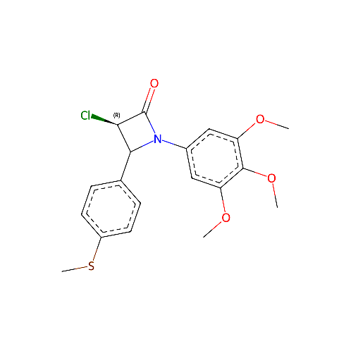 COc1cc(N2C(=O)[C@H](Cl)C2c2ccc(SC)cc2)cc(OC)c1OC